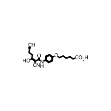 C#CCC/C(O)=C(/C#N)C(=O)Nc1ccc(OCCCCCC(=O)O)cc1